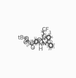 C[C@H](NC(=O)OC(C)(C)C)C(=O)c1cccc(NC2N=C(c3ccccc3)c3ccccc3N(CCCC(F)(F)F)C2=O)c1